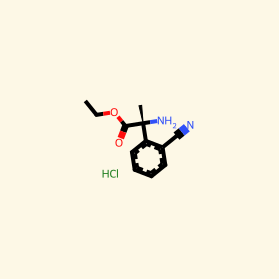 CCOC(=O)[C@](C)(N)c1ccccc1C#N.Cl